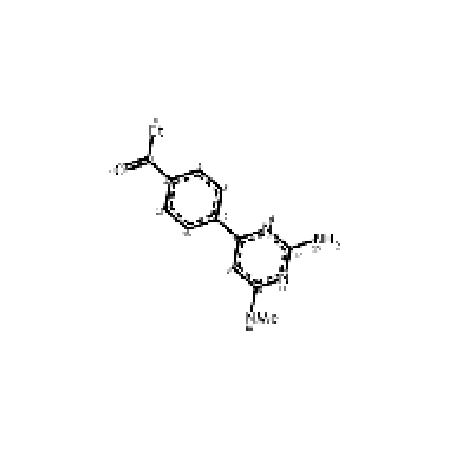 CCC(=O)c1ccc(-c2cc(NC)nc(N)n2)cc1